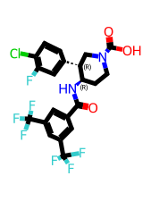 O=C(N[C@@H]1CCN(C(=O)O)C[C@H]1c1ccc(Cl)c(F)c1)c1cc(C(F)(F)F)cc(C(F)(F)F)c1